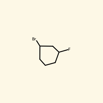 FC1CCCC(Br)C1